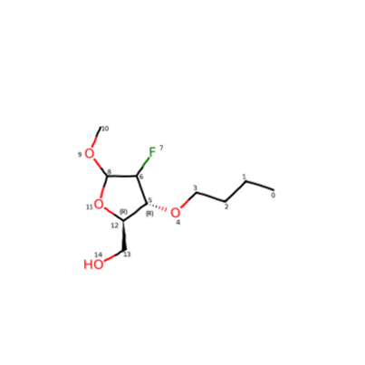 CCCCO[C@H]1C(F)C(OC)O[C@@H]1CO